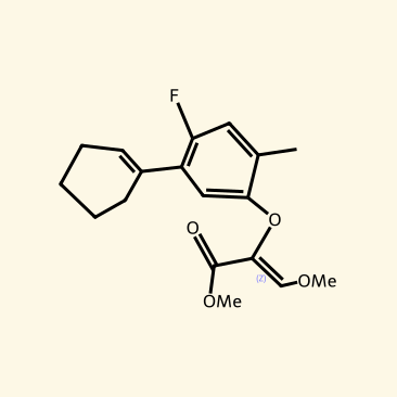 CO/C=C(\Oc1cc(C2=CCCCC2)c(F)cc1C)C(=O)OC